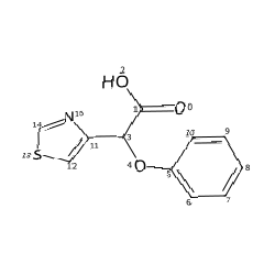 O=C(O)C(Oc1ccccc1)c1cscn1